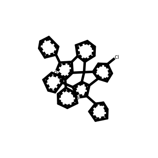 Clc1ccc2c(c1)C1(c3ccccc3-c3c(-c4ccccc4)oc(-c4ccccc4)c31)c1c(-c3ccccc3)sc(-c3ccccc3)c1-2